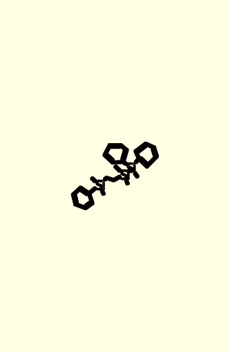 C[Si](C)(CC[Si](C)(C)[Si](C)(c1ccccc1)c1ccccc1)c1ccccc1